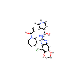 C=CC(=O)N1CCCC[C@@H](n2c(NC(O)c3ccnc(C)c3)nc3cc4c(c(Cl)c32)OCCO4)C1